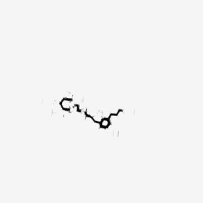 CCCCc1cc(C)cc(CCC(=O)OCCN2C(C)(C)CC(C)CC2(C)C)c1O